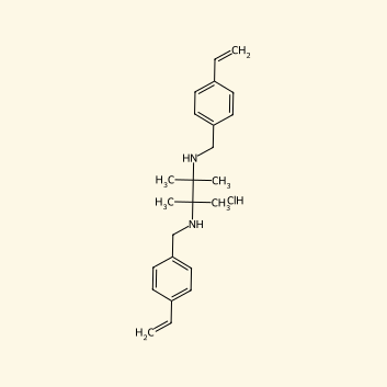 C=Cc1ccc(CNC(C)(C)C(C)(C)NCc2ccc(C=C)cc2)cc1.Cl